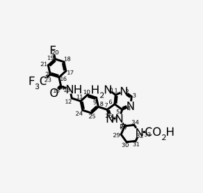 Nc1ncnc2c1c(-c1ccc(CNC(=O)c3ccc(F)cc3C(F)(F)F)cc1)nn2[C@@H]1CCCN(C(=O)O)C1